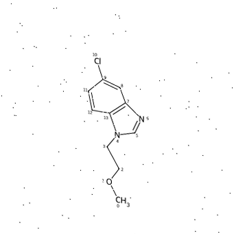 COCCn1cnc2cc(Cl)ccc21